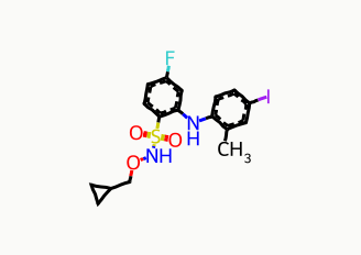 Cc1cc(I)ccc1Nc1cc(F)ccc1S(=O)(=O)NOCC1CC1